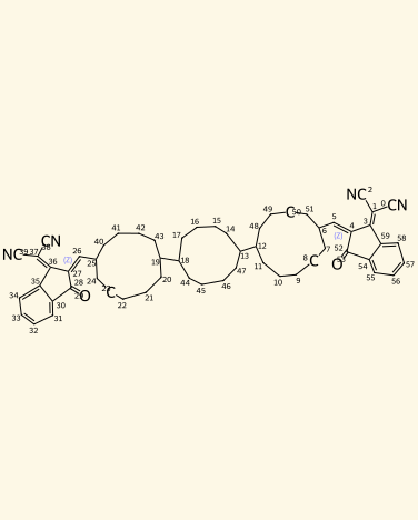 N#CC(C#N)=C1/C(=C/C2CCCCCC(C3CCCCC(C4CCCCCC(/C=C5\C(=O)c6ccccc6C5=C(C#N)C#N)CCCC4)CCCC3)CCCC2)C(=O)c2ccccc21